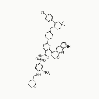 CC1(C)CCC(CN2CCC(c3ccc(C(=O)NS(=O)(=O)c4ccc(NCC5CCCOC5)c([N+](=O)[O-])c4)c(N4CCOc5nc6[nH]ccc6cc54)c3)CC2)=C(c2ccc(Cl)cc2)C1